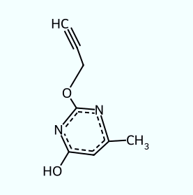 C#CCOc1nc(C)cc(O)n1